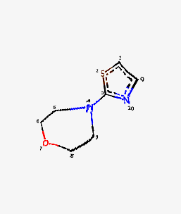 c1csc(N2CCOCC2)n1